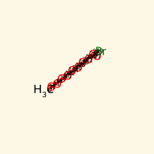 COCCOCCOCCOCCOCCOCCOCCOCCOC(=O)CBr